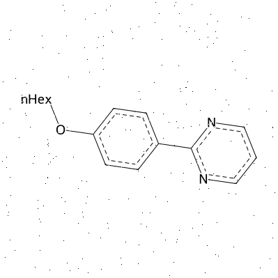 CCCCCCOc1ccc(-c2ncccn2)cc1